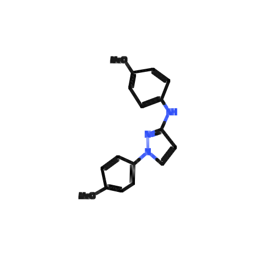 COc1ccc(Nc2ccn(-c3ccc(OC)cc3)n2)cc1